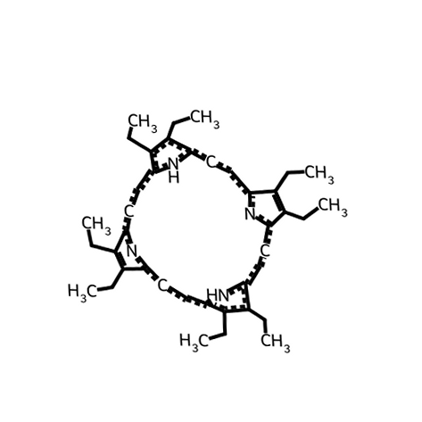 CCC1=C(CC)c2ccc3[nH]c(ccc4nc(ccc5[nH]c(ccc1n2)c(CC)c5CC)C(CC)=C4CC)c(CC)c3CC